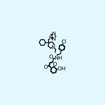 O=C(N[C@H](CCN1CCC(Cn2cncn2)(C2CCCCC2)CC1)Cc1ccc(Cl)cc1)c1cc(=O)c2cccc(O)c2o1